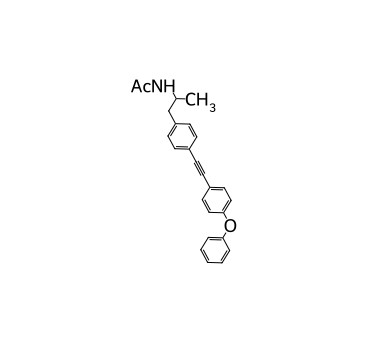 CC(=O)NC(C)Cc1ccc(C#Cc2ccc(Oc3ccccc3)cc2)cc1